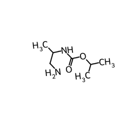 CC(CN)NC(=O)OC(C)C